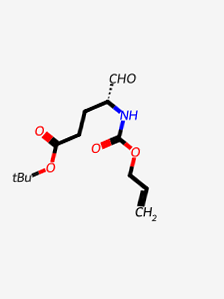 C=CCOC(=O)N[C@@H](C=O)CCC(=O)OC(C)(C)C